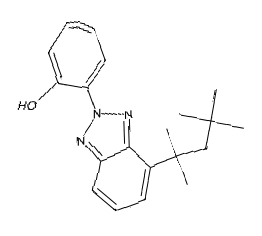 CC(C)(C)CC(C)(C)c1cccc2nn(-c3ccccc3O)nc12